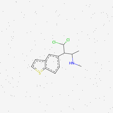 CNC(C)C(c1ccc2sccc2c1)C(Cl)Cl